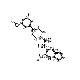 COc1cc(C)cc(N2CCN(C(=O)Nc3nc4sccc4nc3OC)CC2)c1